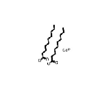 CCCCCCCCCC(=O)[O-].CCCCCCCCCC(=O)[O-].[Cd+2]